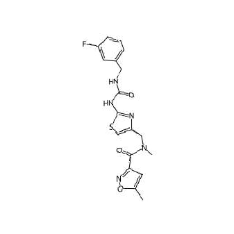 Cc1cc(C(=O)N(C)Cc2csc(NC(=O)NCc3cccc(F)c3)n2)no1